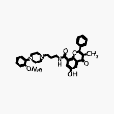 COc1ccccc1N1CCN(CCCNC(=O)c2cc(O)cc3c(=O)c(C)c(-c4ccccc4)oc23)CC1